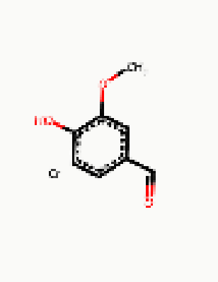 COc1cc(C=O)ccc1O.[Cr]